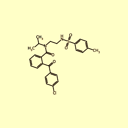 Cc1ccc(S(=O)(=O)NCCN(C(=O)c2ccccc2C(=O)c2ccc(Cl)cc2)C(C)C)cc1